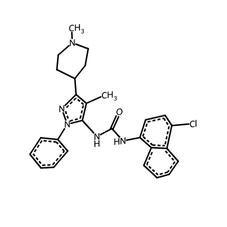 Cc1c(C2CCN(C)CC2)nn(-c2ccccc2)c1NC(=O)Nc1ccc(Cl)c2ccccc12